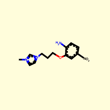 Cn1cc[n+](CCCOc2cc([N+](=O)[O-])ccc2N)c1